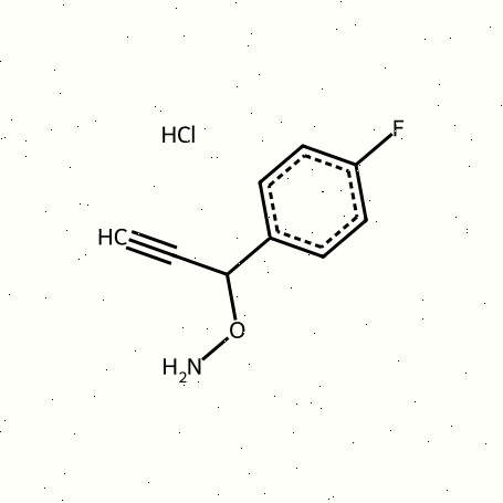 C#CC(ON)c1ccc(F)cc1.Cl